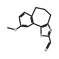 COc1ccc2c(c1)-c1sc(C=O)nc1CCC2